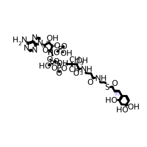 CC(C)(COP(=O)(O)OP(=O)(O)OC[C@H]1O[C@@H](n2cnc3c(N)ncnc32)[C@H](O)[C@@H]1OP(=O)(O)O)[C@@H](O)C(=O)NCCC(=O)NCCSC(=O)/C=C/C1=C(O)CC(O)(O)C=C1